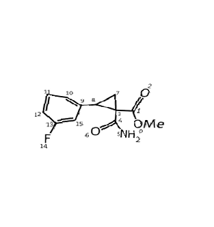 COC(=O)C1(C(N)=O)CC1c1cccc(F)c1